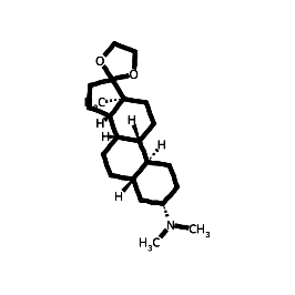 CN(C)[C@H]1CC[C@H]2[C@@H](CC[C@@H]3[C@@H]2CC[C@@]2(C)[C@H]3CCC23OCCO3)C1